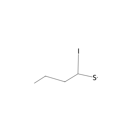 CCCC([S])I